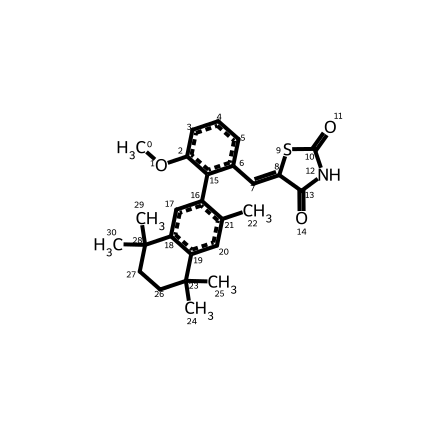 COc1cccc(C=C2SC(=O)NC2=O)c1-c1cc2c(cc1C)C(C)(C)CCC2(C)C